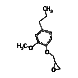 CCCc1ccc(OCC2CO2)c(OC)c1